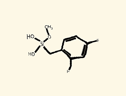 CO[Si](O)(O)Cc1ccc(F)cc1F